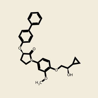 COc1cc(N2CC[C@@H](Oc3ccc(-c4ccccc4)cc3)C2=O)ccc1OC[C@H](O)C1CC1